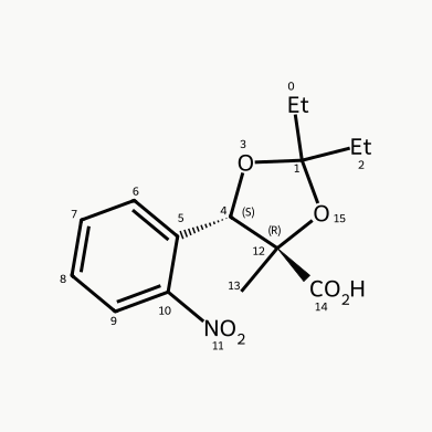 CCC1(CC)O[C@@H](c2ccccc2[N+](=O)[O-])[C@](C)(C(=O)O)O1